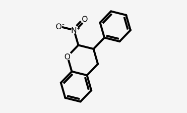 O=[N+]([O-])C1Oc2ccccc2CC1c1ccccc1